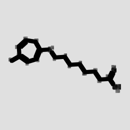 CC1=CC=C(SCCCCCCCC(=O)O)CC=C1